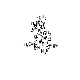 C=C(N)/C=C\N(C(N)=O)[C@@H]1OC([C@H](C)O)[C@@H](OC(=O)[C@@H](N)C(C)C)[C@]1(C)F